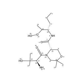 CCC[C@H](NC(=O)[C@@H]1COC(C)(C)CN1C(=O)[C@@H](N)C(C)(C)O)C(C)OO